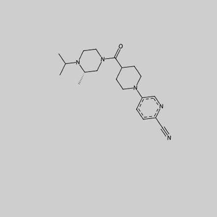 CC(C)N1CCN(C(=O)C2CCN(c3ccc(C#N)nc3)CC2)C[C@@H]1C